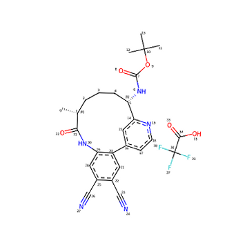 C[C@@H]1CCC[C@H](NC(=O)OC(C)(C)C)c2cc(ccn2)-c2cc(C#N)c(C#N)cc2NC1=O.O=C(O)C(F)(F)F